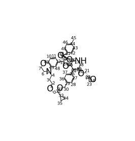 COCCCN1CCOc2ccc(C(O[C@H]3CNC[C@@H](OC[C@H]4CO4)[C@H]3c3ccc(COCC4CC4)cc3)S(=O)(=O)c3ccc(C)cc3)cc21